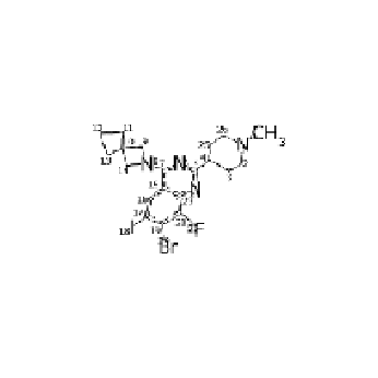 CN1CCC(c2nc(N3CC4(CCC4)C3)c3cc(I)c(Br)c(F)c3n2)CC1